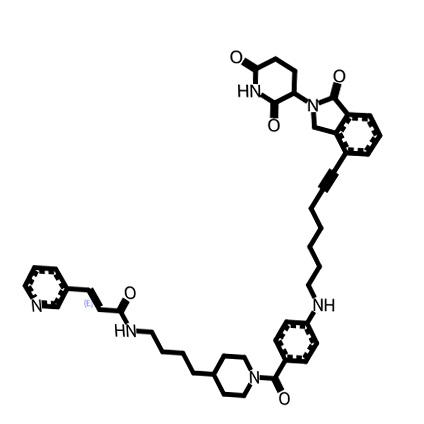 O=C(/C=C/c1cccnc1)NCCCCC1CCN(C(=O)c2ccc(NCCCCCC#Cc3cccc4c3CN(C3CCC(=O)NC3=O)C4=O)cc2)CC1